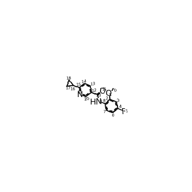 COc1cc(F)ccc1NC(=O)c1ccc(C2CC2)nc1